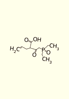 C=CCC(C(=O)O)C(=O)CP(=O)(CC)CC